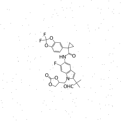 CC(C)(C=O)c1cc2cc(NC(=O)C3(c4ccc5c(c4)OC(F)(F)O5)CC3)c(F)cc2n1CC1COC(=O)O1